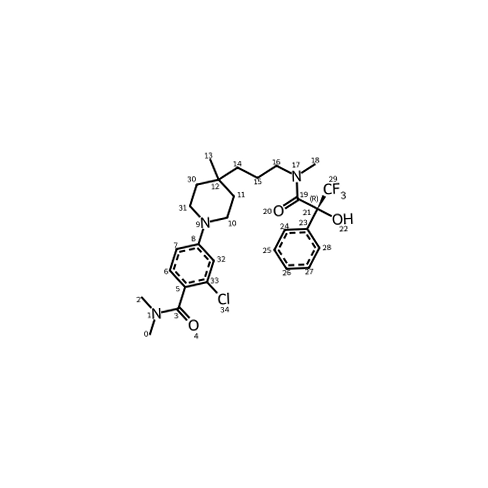 CN(C)C(=O)c1ccc(N2CCC(C)(CCCN(C)C(=O)[C@](O)(c3ccccc3)C(F)(F)F)CC2)cc1Cl